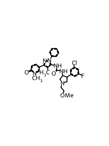 COCCN1CC(NC(=O)Nc2c(C)c(-c3ccc(=O)n(C)c3)nn2-c2ccccc2)C(c2cc(F)cc(Cl)c2)C1